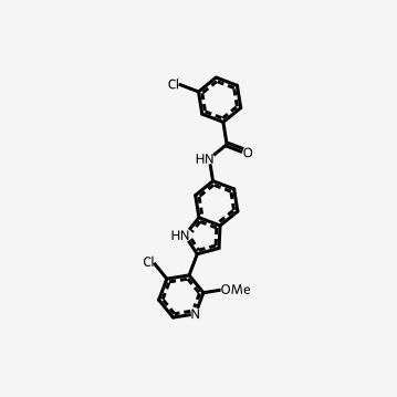 COc1nccc(Cl)c1-c1cc2ccc(NC(=O)c3cccc(Cl)c3)cc2[nH]1